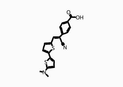 CN(C)c1ccc(-c2ccc(/C=C(\C#N)c3ccc(C(=O)O)cc3)s2)s1